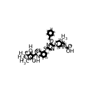 CN1C(=O)C(C(=O)Nc2cccc(Sc3cnc(N4CCC(C)(CNC(=O)O)CC4)c(OCc4ccccc4)n3)c2Cl)=C(O)C1(C)C